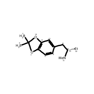 BC1(B)Oc2ccc(C[C@H](CC)NC)cc2O1